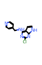 Clc1nc(NCc2ccncc2)c2cc[nH]c2n1